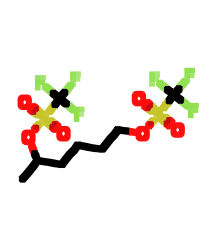 CC(CCCCOS(=O)(=O)C(F)(F)F)OS(=O)(=O)C(F)(F)F